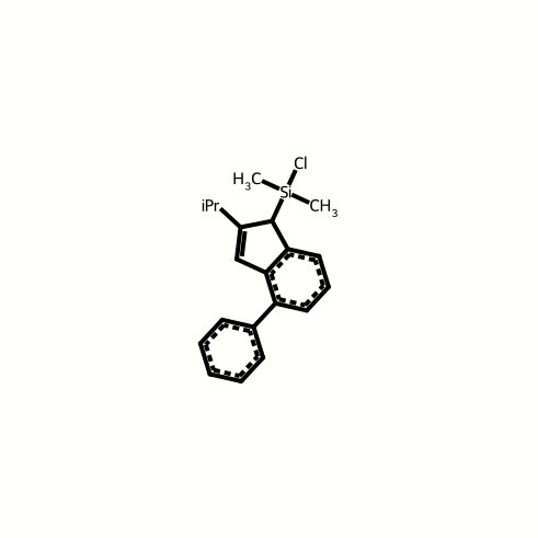 CC(C)C1=Cc2c(-c3ccccc3)cccc2C1[Si](C)(C)Cl